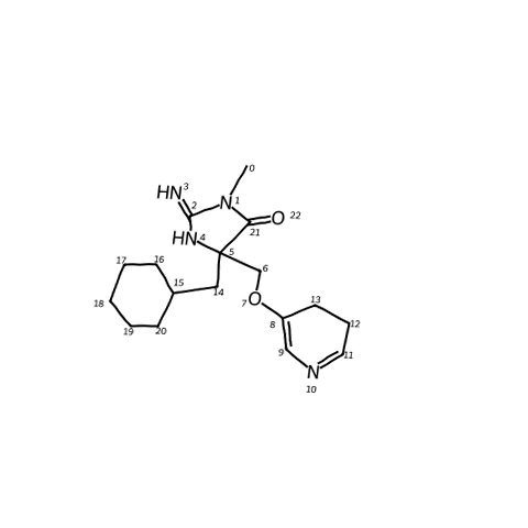 CN1C(=N)NC(COC2=CN=CCC2)(CC2CCCCC2)C1=O